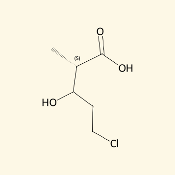 C[C@H](C(=O)O)C(O)CCCl